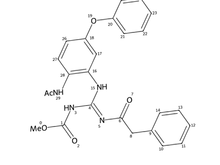 COC(=O)N/C(=N/C(=O)Cc1ccccc1)Nc1cc(Oc2ccccc2)ccc1NC(C)=O